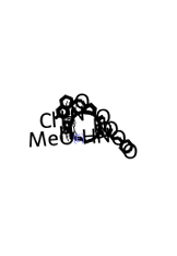 CO[C@H]1/C=C/CCC[S@@](=O)(NC(=O)COC2CCOCC2)=NC(=O)c2ccc3c(c2)N(C[C@@H]2CC[C@H]21)C[C@@]1(CCCc2cc(Cl)ccc21)CO3